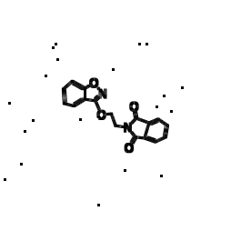 O=C1c2ccccc2C(=O)N1CCOc1noc2ccccc12